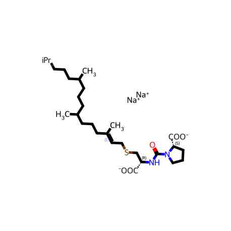 C/C(=C\CSC[C@H](NC(=O)N1CCC[C@H]1C(=O)[O-])C(=O)[O-])CCCC(C)CCCC(C)CCCC(C)C.[Na+].[Na+]